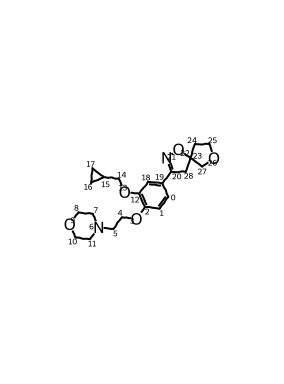 c1cc(OCCN2CCOCC2)c(OCC2CC2)cc1C1=NOC2(CCOC2)C1